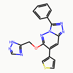 c1ccc(-c2nnc3cc(-c4ccsc4)c(OCc4ncn[nH]4)nn23)cc1